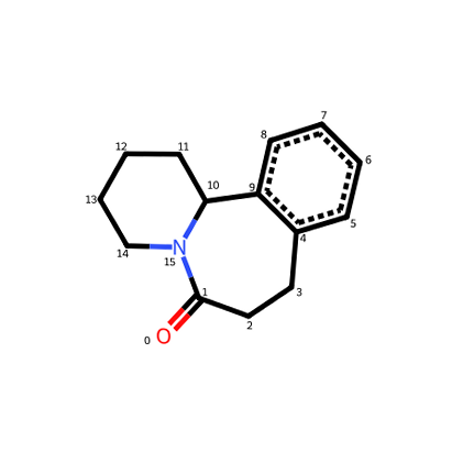 O=C1CCc2ccccc2C2CCCCN12